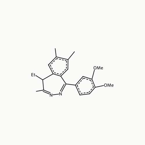 CCC1C(C)=NN=C(c2ccc(OC)c(OC)c2)c2cc(C)c(C)cc21